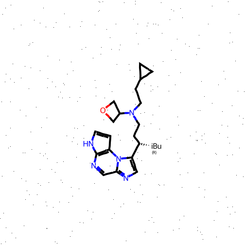 CC[C@@H](C)C(CCN(CCC1CC1)C1COC1)c1cnc2cnc3[nH]ccc3n12